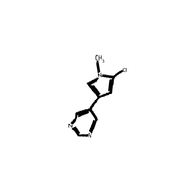 Cn1cc(-c2cncnc2)cc1Cl